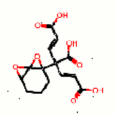 O=C(O)C=CC(C=CC(=O)O)(C(=O)O)C12CCCC3OC31O2